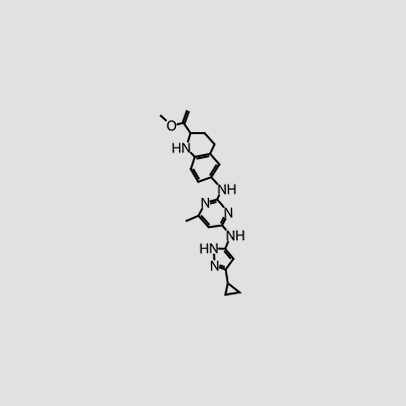 C=C(OC)C1CCc2cc(Nc3nc(C)cc(Nc4cc(C5CC5)n[nH]4)n3)ccc2N1